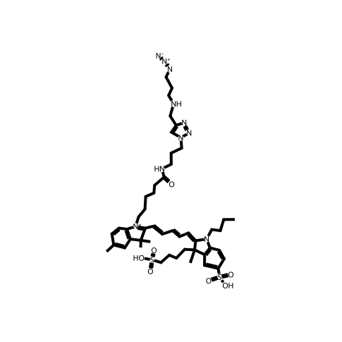 CCCCN1/C(=C/C=C/C=C/C2=[N+](CCCCCC(=O)NCCCn3cc(CNCCCN=[N+]=[N-])nn3)c3ccc(C)cc3C2(C)C)C(C)(CCCCS(=O)(=O)O)c2cc(S(=O)(=O)O)ccc21